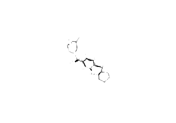 CC1CN(C(=O)c2ccc3c(Cl)c4c(nc3c2)CCCC4)CCN1